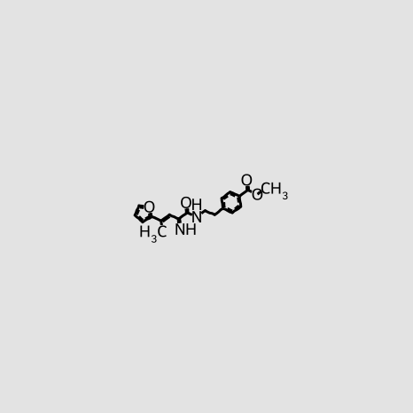 COC(=O)c1ccc(CCNC(=O)C(=N)/C=C(\C)c2ccco2)cc1